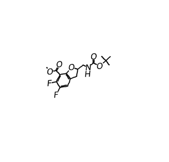 COC(=O)c1c(F)c(F)cc2c1OC(CNC(=O)OC(C)(C)C)C2